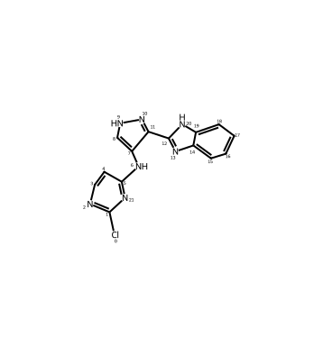 Clc1nccc(Nc2c[nH]nc2-c2nc3ccccc3[nH]2)n1